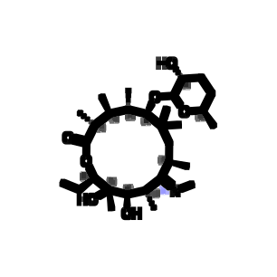 CC[C@H]1OC(=O)[C@H](C)[C@@H](C)[C@H](C)[C@@H](OC2O[C@H](C)CC[C@H]2O)C(C)(C)C[C@@H](C)/C(=N\C)[C@H](C)[C@@H](O)[C@]1(C)O